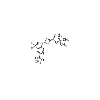 COC(=O)c1cc(C(F)(F)F)c(OC2CN(C(=O)OC(C)(C)C)C2)cn1